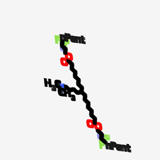 CCCCCC(F)(F)/C=C/COC(=O)CCCCCCCC(CCCCCCCC(=O)OC/C=C/C(F)(F)CCCCC)CCCCN(C)C